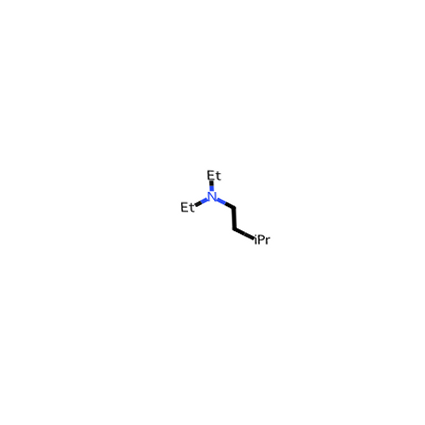 CCN(CC)CCC(C)C